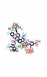 CN(C(=O)N(c1nn(CC(F)(F)F)c2c(-c3ccc(C#CC(C)(C)S(C)(=O)=O)nc3[C@H](Cc3cc(F)cc(F)c3)NC(=O)Cn3nc(C(F)(F)F)c4c3C(F)(F)[C@@H]3C[C@H]43)ccc(Cl)c12)S(C)(=O)=O)c1ncc(C(=O)O)cc1COP(=O)(O)O